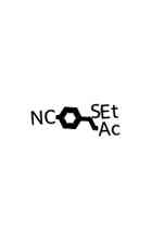 CCSC(CC(C)=O)c1ccc(C#N)cc1